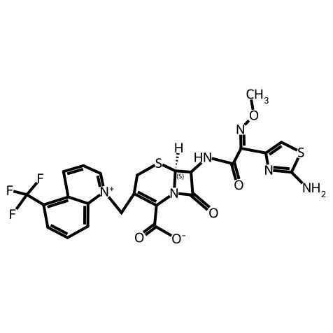 CON=C(C(=O)NC1C(=O)N2C(C(=O)[O-])=C(C[n+]3cccc4c(C(F)(F)F)cccc43)CS[C@@H]12)c1csc(N)n1